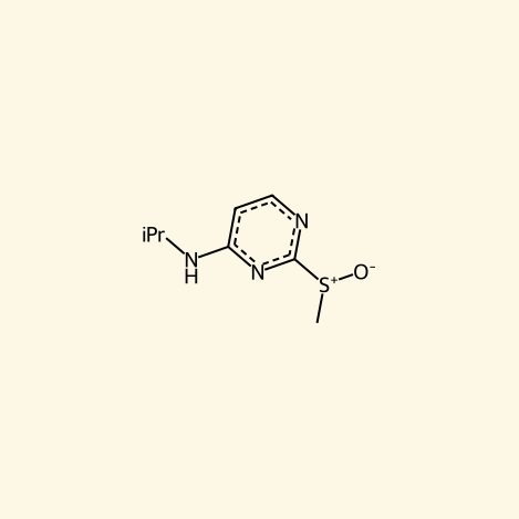 CC(C)Nc1ccnc([S+](C)[O-])n1